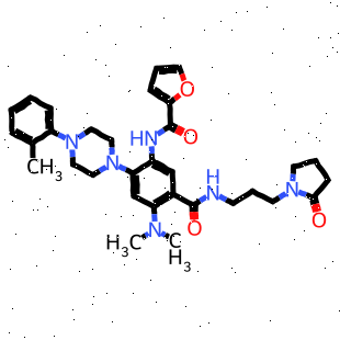 Cc1ccccc1N1CCN(c2cc(N(C)C)c(C(=O)NCCCN3CCCC3=O)cc2NC(=O)c2ccco2)CC1